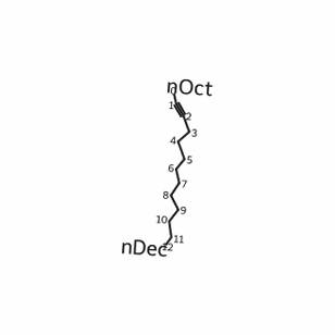 [CH2]CCCCCCCC#CCCCCCCCCCCCCCCCCCC[CH2]